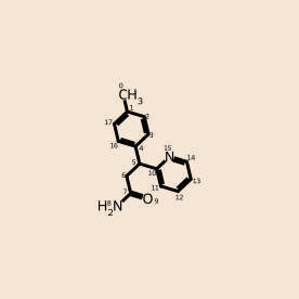 Cc1ccc(C(CC(N)=O)c2ccccn2)cc1